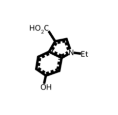 CCn1cc(C(=O)O)c2ccc(O)cc21